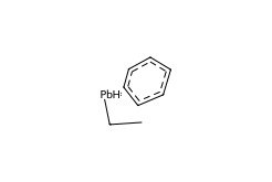 C[CH2][PbH].c1ccccc1